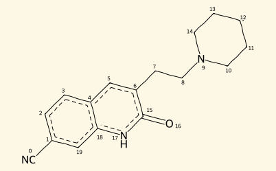 N#Cc1ccc2cc(CCN3CC[CH]CC3)c(=O)[nH]c2c1